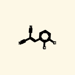 N#CC(C#N)=Cc1cccc(Cl)c1Cl